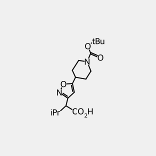 CC(C)C(C(=O)O)c1cc(C2CCN(C(=O)OC(C)(C)C)CC2)on1